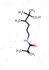 C=C(C)C(=O)NCCCC(C)C(C)(C)C(=O)O